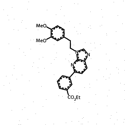 CCOC(=O)c1cccc(-c2ccc3ncn(CCc4ccc(OC)c(OC)c4)c3n2)c1